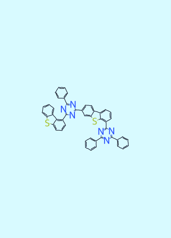 c1ccc(-c2nc(-c3ccccc3)nc(-c3cccc4c3sc3cc(-c5nc(-c6ccccc6)nc(-c6cccc7sc8ccccc8c67)n5)ccc34)n2)cc1